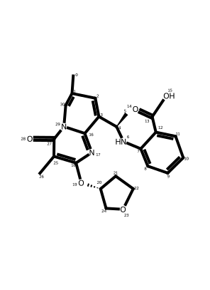 Cc1cc([C@@H](C)Nc2ccccc2C(=O)O)c2nc(O[C@@H]3CCOC3)c(C)c(=O)n2c1